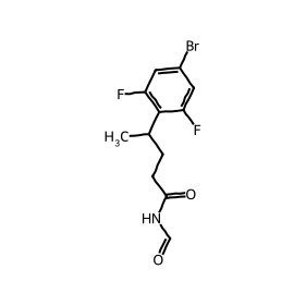 CC(CCC(=O)NC=O)c1c(F)cc(Br)cc1F